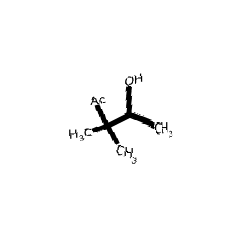 CC(=O)C(C)(C)C(C)O